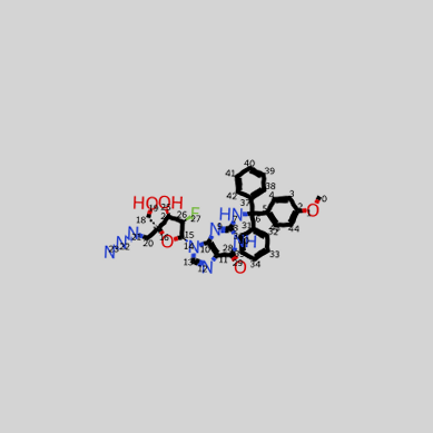 COc1ccc(C(Nc2nc3c(ncn3[C@@H]3O[C@@](CO)(CN=[N+]=[N-])[C@@H](O)[C@H]3F)c(=O)[nH]2)(c2ccccc2)c2ccccc2)cc1